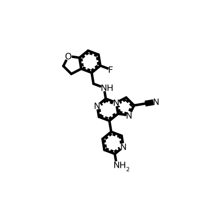 N#Cc1cn2c(NCc3c(F)ccc4c3CCO4)ncc(-c3ccc(N)nc3)c2n1